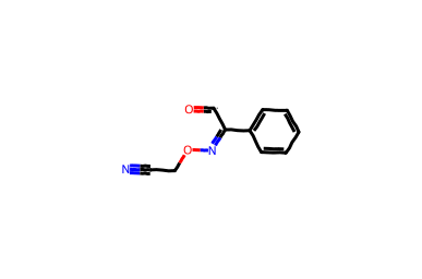 N#CCON=C([C]=O)c1ccccc1